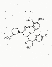 COc1ccc(C2OC(CC(=O)N3CCCC(C(=O)O)C3)C(=O)N(CC(C)(C)C)c3ccc(Cl)cc32)c(OC)c1OC